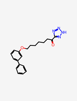 O=C(CCCCCCOc1cccc(-c2ccccc2)c1)c1nn[nH]n1